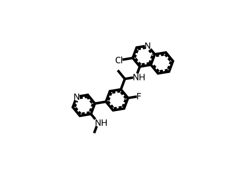 CNc1ccncc1-c1ccc(F)c(C(C)Nc2c(Cl)cnc3ccccc23)c1